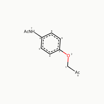 CC(=O)COc1ccc(NC(C)=O)cc1